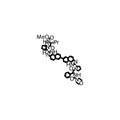 COC(=O)N[C@H](C(=O)N1[C@@H]2CC[C@@H](C2)[C@H]1c1nc2ccc3cc(-c4ccc5c(ccc6nc([C@@H]7CCCN7C(=O)[C@H](NC(=O)N7CCOCC7)c7ccccc7)[nH]c65)c4)ccc3c2[nH]1)C(C)C